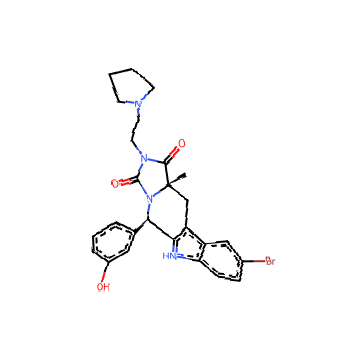 C[C@@]12Cc3c([nH]c4ccc(Br)cc34)[C@@H](c3cccc(O)c3)N1C(=O)N(CCN1CCCC1)C2=O